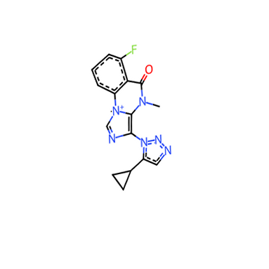 CN1C(=O)c2c(F)cccc2[N+]2C=NC(n3nncc3C3CC3)=C12